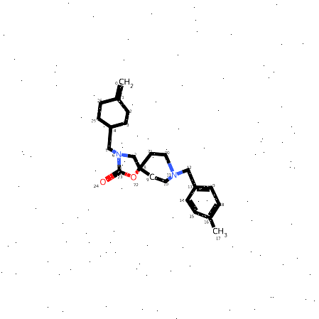 C=C1CCC(CN2CC3(CCN(Cc4ccc(C)cc4)CC3)OC2=O)CC1